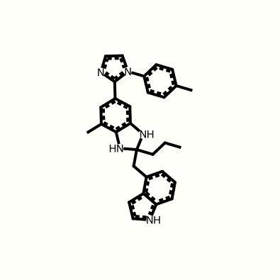 CCCC1(Cc2cccc3[nH]ccc23)Nc2cc(-c3nccn3-c3ccc(C)cc3)cc(C)c2N1